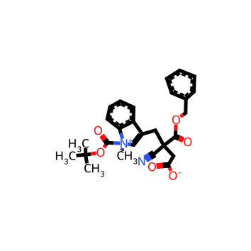 CC(C)(C)OC(=O)[N+]1(C)C=C(CC(C#N)(CC(=O)[O-])C(=O)OCc2ccccc2)c2ccccc21